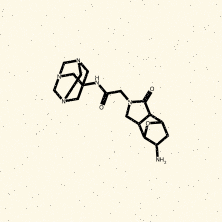 NC1CC2OC1C1CN(CC(=O)NC34CN5CN(CN(C5)C3)C4)C(=O)C21